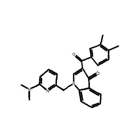 Cc1ccc(C(=O)c2cn(Cc3cccc(N(C)C)n3)c3ccccc3c2=O)cc1C